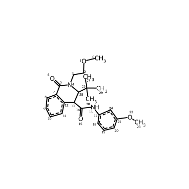 COCCN1C(=O)c2ccccc2C(C(=O)Nc2cccc(OC)c2)C1C(C)(C)C